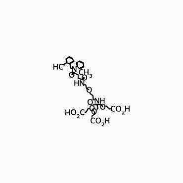 C#Cc1ccccc1CN(C(=O)CCC(=O)NCCOCCC(=O)NC(COCCC(=O)O)(COCCC(=O)O)COCCC(=O)O)c1ccccc1C